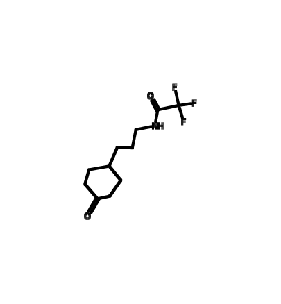 O=C1CCC(CCCNC(=O)C(F)(F)F)CC1